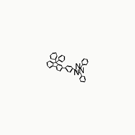 c1ccc(-c2nc(-c3ccccc3)nc(-c3ccc(-c4ccc5c(c4)C(c4ccccc4)(c4ccccc4)c4ccccc4-5)cc3)n2)cc1